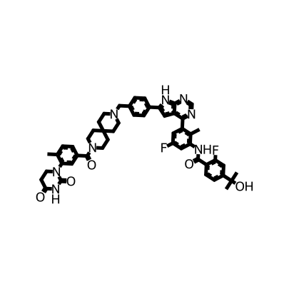 Cc1ccc(C(=O)N2CCC3(CCN(Cc4ccc(-c5cc6c(-c7cc(F)cc(NC(=O)c8ccc(C(C)(C)O)cc8F)c7C)ncnc6[nH]5)cc4)CC3)CC2)cc1N1CCC(=O)NC1=O